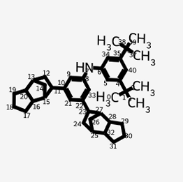 CC(C)(C)c1cc(Nc2cc(C3CC4CC3C3CCCC43)cc(C3CC4CC3C3CCCC43)c2)cc(C(C)(C)C)c1